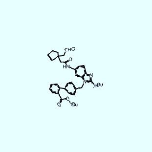 CCCCc1nc2ccc(NC(=O)CC3(CC=O)CCCC3)cc2n1Cc1ccc(-c2ccccc2C(=O)OC(C)(C)C)cc1